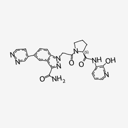 NC(=O)c1nn(CC(=O)N2CCC[C@H]2C(=O)Nc2cccnc2O)c2ccc(-c3ccnnc3)cc12